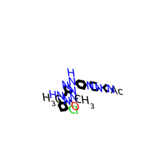 CC(=O)N1CC(N2CCN(c3ccc(Nc4ncc5c(=N)n(-c6c(C)cccc6Cl)c(=O)n(C)c5n4)cc3)CC2)C1